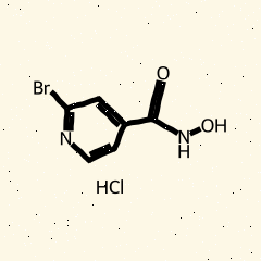 Cl.O=C(NO)c1ccnc(Br)c1